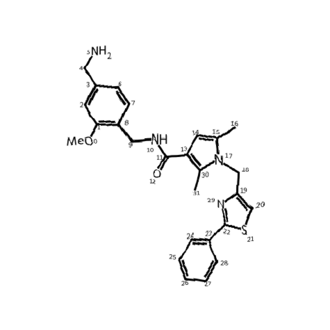 COc1cc(CN)ccc1CNC(=O)c1cc(C)n(Cc2csc(-c3ccccc3)n2)c1C